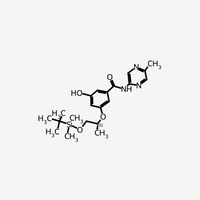 Cc1cnc(NC(=O)c2cc(O)cc(O[C@@H](C)CO[Si](C)(C)C(C)(C)C)c2)cn1